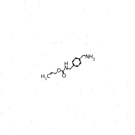 C=CCOC(=O)NCc1ccc(CN)cc1